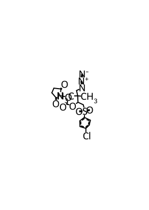 CC(C)(CN=[N+]=[N-])C(CS(=O)(=O)c1ccc(Cl)cc1)OC(=O)ON1C(=O)CCC1=O